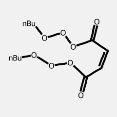 CCCCOOOC(=O)/C=C\C(=O)OOOCCCC